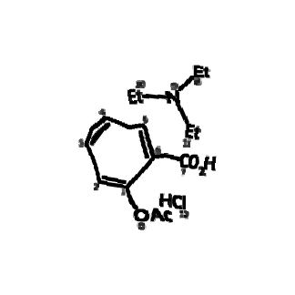 CC(=O)Oc1ccccc1C(=O)O.CCN(CC)CC.Cl